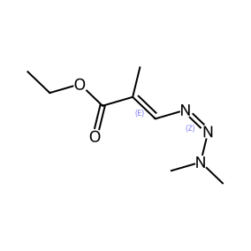 CCOC(=O)/C(C)=C/N=N\N(C)C